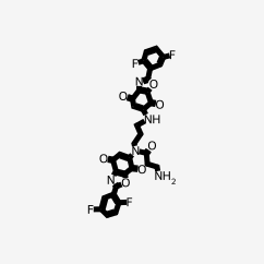 NCCC(=O)N(CCCNC1=CC(=O)c2nc(-c3cc(F)ccc3F)oc2C1=O)C1=CC(=O)c2nc(-c3cc(F)ccc3F)oc2C1=O